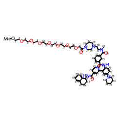 COCCOCCOCCOCCOCCOCCOCCOCC(=O)N1CCCN(CCN(C)C(=O)c2cccc(C(=O)Nc3ccc(N4CCCCC4)cc3-c3cc(C(=O)N[C@H]4CCCc5ccccc54)ccn3)c2)CC1